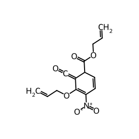 C=CCOC(=O)C1C=CC([N+](=O)[O-])=C(OCC=C)C1=C=O